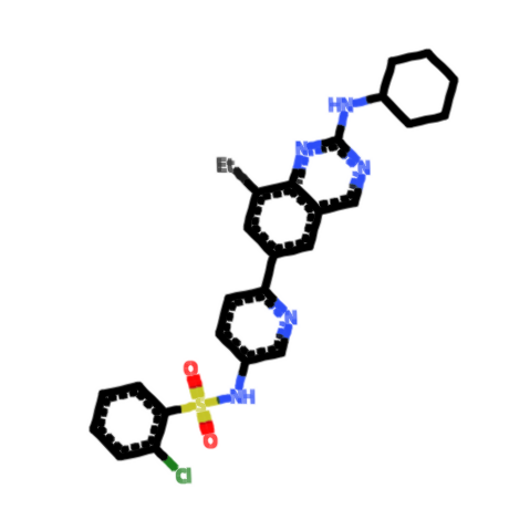 CCc1cc(-c2ccc(NS(=O)(=O)c3ccccc3Cl)cn2)cc2cnc(NC3CCCCC3)nc12